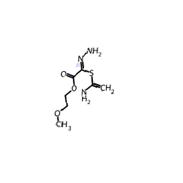 C=C(N)S/C(=N\N)C(=O)OCCOC